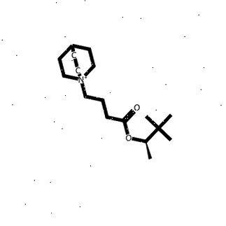 C[C@@H](OC(=O)CCC[N+]12CCC(CC1)CC2)C(C)(C)C